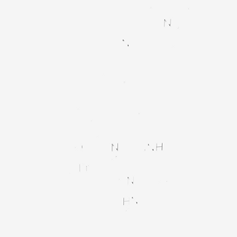 Cc1cc(Nc2cc3cc(CN4CCN(C)CC4)ccc3c(OC(C)C)n2)n[nH]1